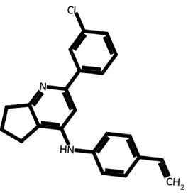 C=Cc1ccc(Nc2cc(-c3cccc(Cl)c3)nc3c2CCC3)cc1